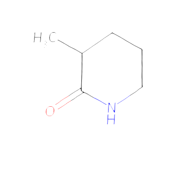 CC1CCCNC1=O